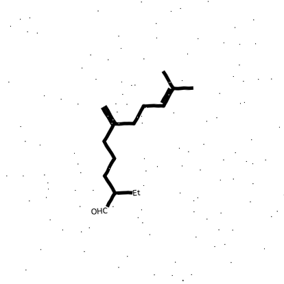 C=C(CCC=C(C)C)CCCC(C=O)CC